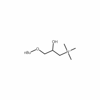 CCCCOCC(O)C[N+](C)(C)C